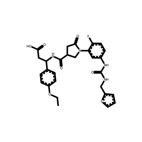 CCOc1ccc(C(CC(=O)O)NC(=O)C2CC(=O)N(c3cc(NC(=O)NCc4cccs4)ccc3F)C2)cc1